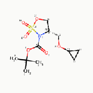 CC(C)(C)OC(=O)N1[C@@H](COC2CC2)COS1(=O)=O